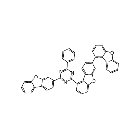 c1ccc(-c2nc(-c3ccc4c(c3)oc3ccccc34)nc(-c3cccc4oc5cc(-c6cccc7oc8ccccc8c67)ccc5c34)n2)cc1